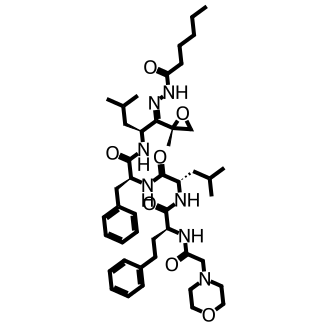 CCCCCC(=O)N/N=C(/[C@H](CC(C)C)NC(=O)[C@H](Cc1ccccc1)NC(=O)[C@H](CC(C)C)NC(=O)[C@H](CCc1ccccc1)NC(=O)CN1CCOCC1)[C@@]1(C)CO1